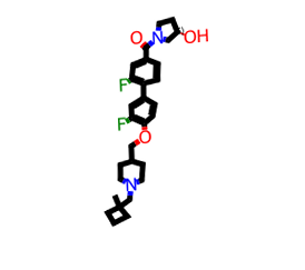 CC1(CN2CCC(COc3ccc(-c4ccc(C(=O)N5CC[C@H](O)C5)cc4F)cc3F)CC2)CCC1